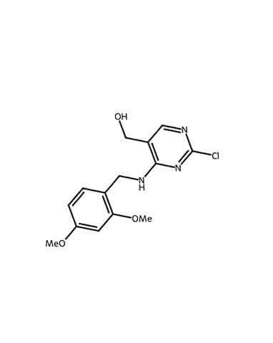 COc1ccc(CNc2nc(Cl)ncc2CO)c(OC)c1